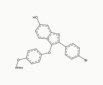 CCCCCCOc1ccc(Oc2c(-c3ccc(Br)cc3)sc3cc(O)ccc23)cc1